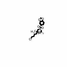 CC(C)CN(CC(C)(C)CCCCCl)S(=O)(=O)c1ccc2c(c1)OCO2